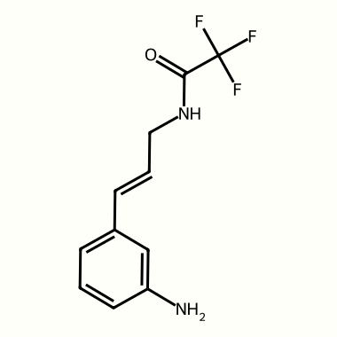 Nc1cccc(C=CCNC(=O)C(F)(F)F)c1